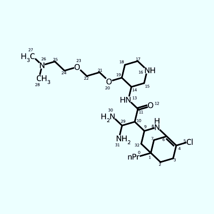 CCCC12CCC(Cl)=C(C1)NC(C(C(=O)NC1CNCCC1OCCOCCN(C)C)C(N)N)C2